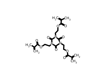 C=C(C)C(=O)OCCn1c(=O)n(CCOC(=O)C(=C)C)c(=O)n(CCOC(=O)C(=C)C)c1=O